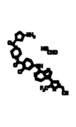 N#CCn1cc(-c2cnc3c(Nc4ccc(C(=O)N5CCN(C(=O)[C@H]6CC[C@H](N)C6)CC5)c(Cl)c4)nccn23)c(C(F)(F)F)n1.O=CO